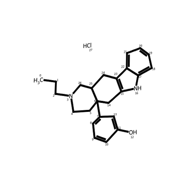 CCCN1CCC2(c3cccc(O)c3)Cc3[nH]c4ccccc4c3CC2C1.Cl